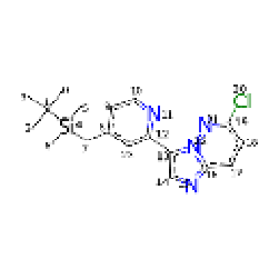 CC(C)(C)[Si](C)(C)Cc1ccnc(-c2cnc3ccc(Cl)nn23)c1